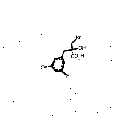 O=C(O)[C@@](O)(CBr)Cc1cc(F)cc(F)c1